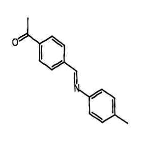 CC(=O)c1ccc(C=Nc2ccc(C)cc2)cc1